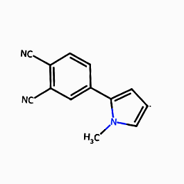 Cn1c[c]cc1-c1ccc(C#N)c(C#N)c1